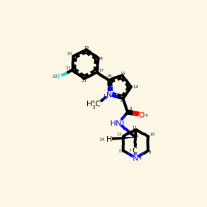 Cn1c(C(=O)N[C@H]2CN3CCC2CC3)ccc1-c1cccc(F)c1